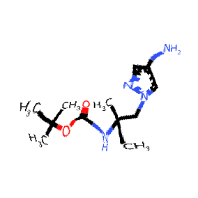 CC(C)(Cn1cc(N)cn1)NC(=O)OC(C)(C)C